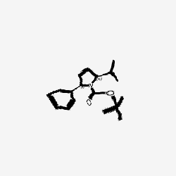 CC(C)[C@@H]1CC[C@H](c2ccccc2)N1C(=O)OC(C)(C)C